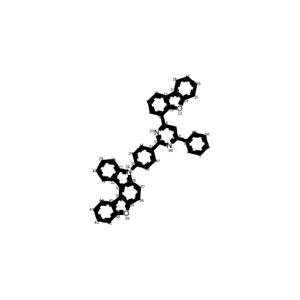 c1ccc(-c2cc(-c3cccc4c3oc3ccccc34)nc(-c3ccc(-n4c5ccccc5c5c6c(ccc54)oc4ccccc46)cc3)n2)cc1